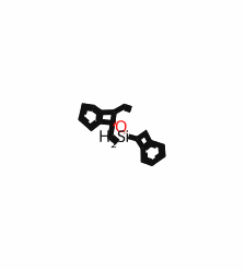 C=CC1c2ccccc2C1(C=C)O[SiH2]C1Cc2ccccc21